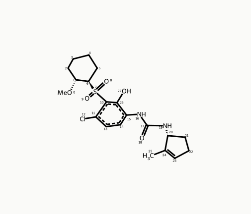 CO[C@@H]1CCCC[C@H]1S(=O)(=O)c1c(Cl)ccc(NC(=O)N[C@@H]2CCC=C2C)c1O